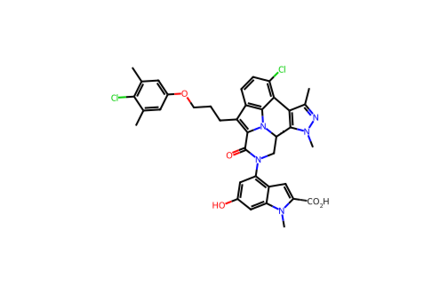 Cc1cc(OCCCc2c3n4c5c(c(Cl)ccc25)-c2c(C)nn(C)c2[C@@]4(C)CN(c2cc(O)cc4c2cc(C(=O)O)n4C)C3=O)cc(C)c1Cl